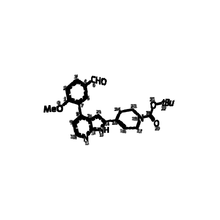 COc1ccc(C=O)cc1-c1ccnc2[nH]c(C3=CCN(C(=O)OC(C)(C)C)CC3)cc12